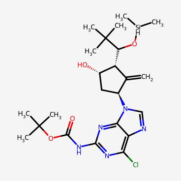 C=C1[C@@H](C(O[SiH](C)C)C(C)(C)C)[C@@H](O)C[C@@H]1n1cnc2c(Cl)nc(NC(=O)OC(C)(C)C)nc21